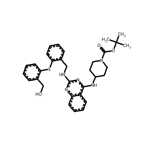 CC(C)(C)OC(=O)N1CCC(Nc2nc(NCc3ccccc3Sc3ccccc3CO)nc3ccccc23)CC1